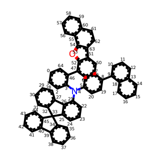 c1ccc(N(c2ccc(-c3cccc4ccccc34)cc2)c2cccc3c2-c2ccccc2C32c3ccccc3-c3ccccc32)c(-c2cccc3c2oc2c4ccccc4ccc32)c1